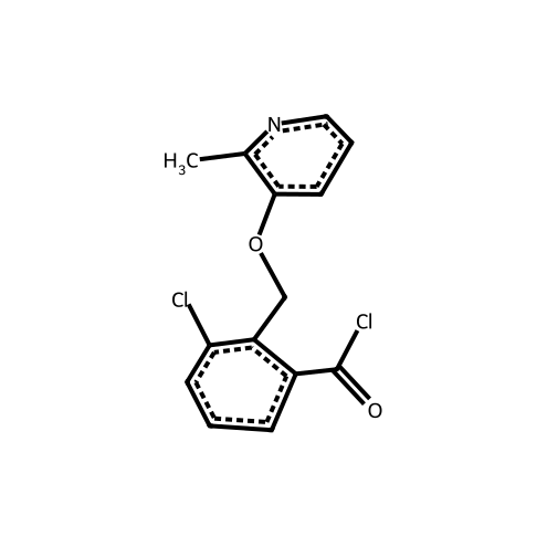 Cc1ncccc1OCc1c(Cl)cccc1C(=O)Cl